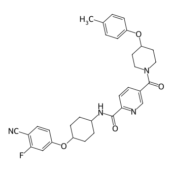 Cc1ccc(OC2CCN(C(=O)c3ccc(C(=O)NC4CCC(Oc5ccc(C#N)c(F)c5)CC4)nc3)CC2)cc1